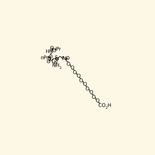 CCCN(OCCNC(=O)OC(C)C)C(=O)C1=Cc2sc(CC3CN(C(=O)CCOCCOCCOCCOCCOCCOCCOCCOCCOCCOCCC(=O)O)C3)cc2N=C(N)C1